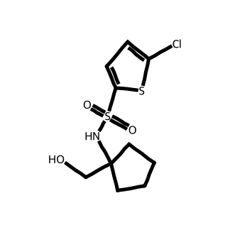 O=S(=O)(NC1(CO)CCCC1)c1ccc(Cl)s1